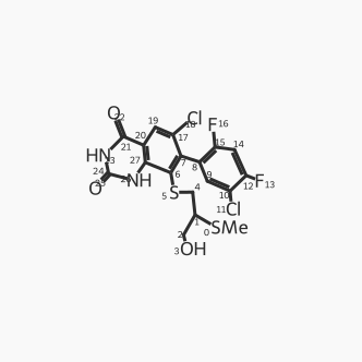 CSC(CO)CSc1c(-c2cc(Cl)c(F)cc2F)c(Cl)cc2c(=O)[nH]c(=O)[nH]c12